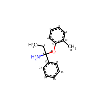 CCC(N)(Oc1ccccc1C)c1ccccc1